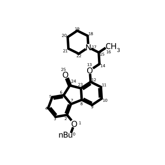 CCCCOc1cccc2c1-c1cccc(OCC(C)N3CCCCC3)c1C2=O